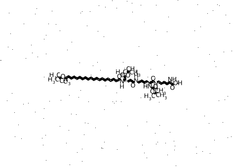 CC(C)(C)OC(=O)CCCCCCCCCCCCCCCCCCC(=O)N[C@@H](CCC(=O)NCCCC[C@H](NC(=O)OC(C)(C)C)C(=O)NCCCC[C@H](N)C(=O)O)C(=O)OC(C)(C)C